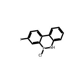 ClP1Nc2ccccc2-c2ccc(I)cc21